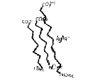 CCCCCCCCCCCCCCCCCC(=O)[O-].CCCCCCCCCCCCCCCCCC(=O)[O-].CCCCCCCCCCCCCCCCCCCCCC(=O)O.[Ag+].[Ag+]